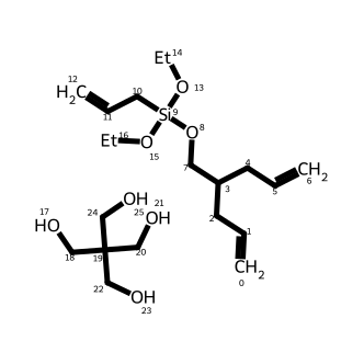 C=CCC(CC=C)CO[Si](CC=C)(OCC)OCC.OCC(CO)(CO)CO